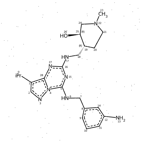 CC(C)c1cnn2c(NCc3cccc(N)c3)nc(NC[C@H]3CCN(C)C[C@@H]3O)nc12